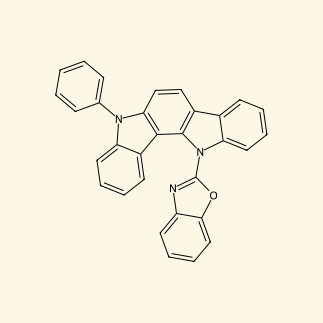 c1ccc(-n2c3ccccc3c3c2ccc2c4ccccc4n(-c4nc5ccccc5o4)c23)cc1